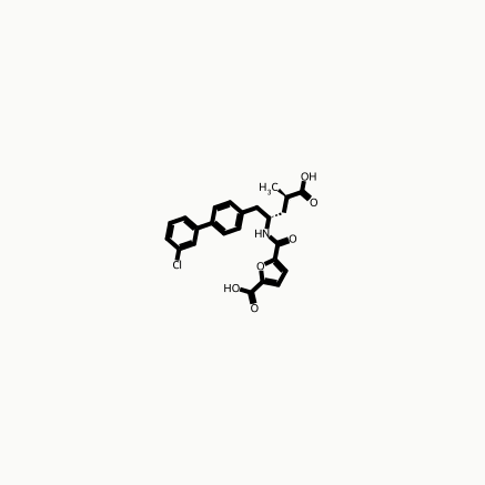 C[C@H](C[C@@H](Cc1ccc(-c2cccc(Cl)c2)cc1)NC(=O)c1ccc(C(=O)O)o1)C(=O)O